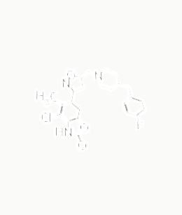 Cc1c(C2=NOC(CN3CCC(Cc4ccc(F)cc4)CC3)C2)cc2oc(=O)[nH]c2c1Cl